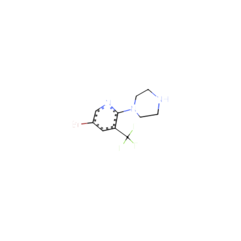 FC(F)(F)c1cc(Br)cnc1N1CCNCC1